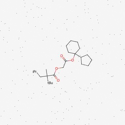 CC(C)CC(C)(C(=O)OCC(=O)OC1(C2CCCC2)CCCCC1)C(C)(C)C